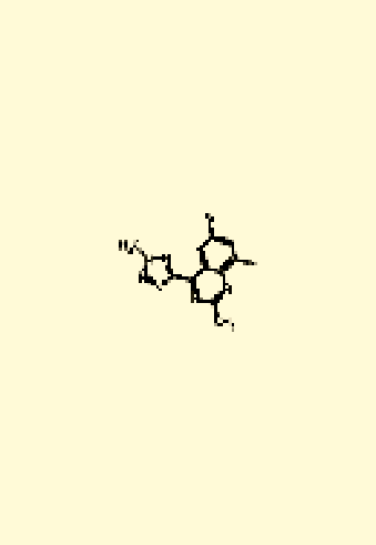 Cc1nc(-c2nnn(C)n2)c2cc(Br)cc(F)c2n1